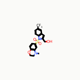 CN1CCOc2ccc(S(=O)(=O)n3c(CO)cc4cc(C(F)(F)F)ccc43)cc21